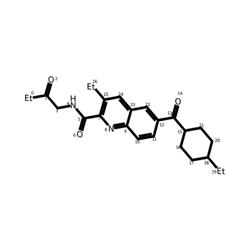 CCC(=O)CNC(=O)c1nc2ccc(C(=O)C3CCC(CC)CC3)cc2cc1CC